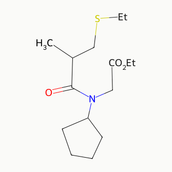 CCOC(=O)CN(C(=O)C(C)CSCC)C1CCCC1